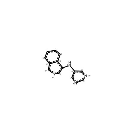 c1ccc2c(Nc3cncnc3)cncc2c1